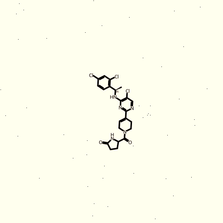 C[C@@H](Nc1nc(C2=CCN(C(=O)C3CCC(=O)N3)CC2)ncc1Cl)c1ccc(Cl)cc1Cl